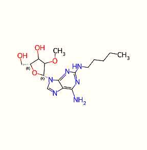 CCCCCNc1nc(N)c2ncn([C@@H]3O[C@H](CO)C(O)C3OC)c2n1